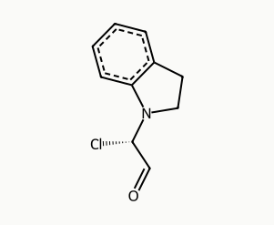 O=C[C@H](Cl)N1CCc2ccccc21